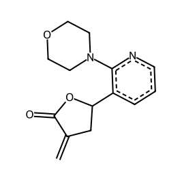 C=C1CC(c2cccnc2N2CCOCC2)OC1=O